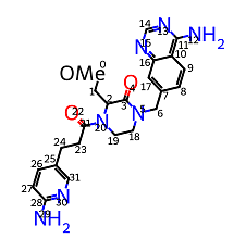 COCC1C(=O)N(Cc2ccc3c(N)ncnc3c2)CCN1C(=O)CCc1ccc(N)nc1